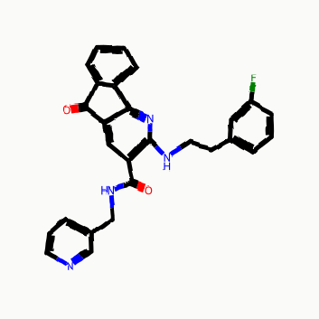 O=C(NCc1cccnc1)c1cc2c(nc1NCCc1cccc(F)c1)-c1ccccc1C2=O